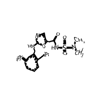 CC(C)c1cccc(C(C)C)c1Nc1ncc(C(=O)NS(=O)(=O)N(C)C)o1